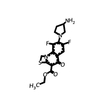 CCOC(=O)c1c2n(c3c(F)c(N4CCC(N)C4)c(F)cc3c1=O)CS2